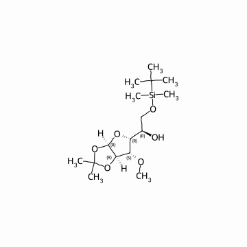 CO[C@@H]1[C@H]2OC(C)(C)O[C@H]2O[C@@H]1[C@H](O)CO[Si](C)(C)C(C)(C)C